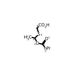 CCCC(=O)OC(C)SCC(=O)O